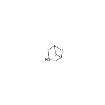 C1NCC2SC1S2